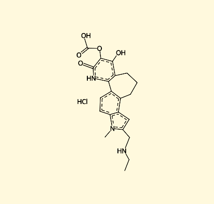 CCNCc1cc2c3c(ccc2n1C)-c1[nH]c(=O)c(OC(=O)O)c(O)c1CCC3.Cl